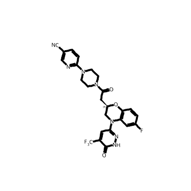 N#Cc1ccc(N2CCN(C(=O)C[C@@H]3CN(c4cc(C(F)(F)F)c(=O)[nH]n4)c4cc(F)ccc4O3)CC2)nc1